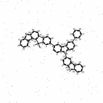 CC1(C)c2cc(-c3ccc4c(c3)c3cc(-c5ccccc5)ccc3n4-c3ccc4sc5ccccc5c4c3)ccc2-c2ccc3sc4ccccc4c3c21